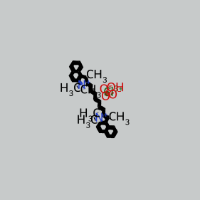 CC1=C(C=CC=CC=CC=C2C(C)c3c(ccc4ccccc34)[N+]2(C)C)[N+](C)(C)c2ccc3ccccc3c21.[O-][Cl+3]([O-])([O-])O